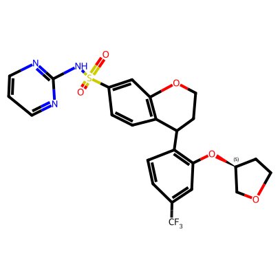 O=S(=O)(Nc1ncccn1)c1ccc2c(c1)OCCC2c1ccc(C(F)(F)F)cc1O[C@H]1CCOC1